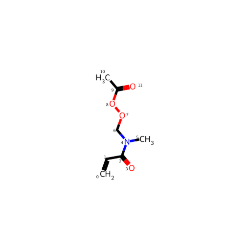 C=CC(=O)N(C)COOC(C)=O